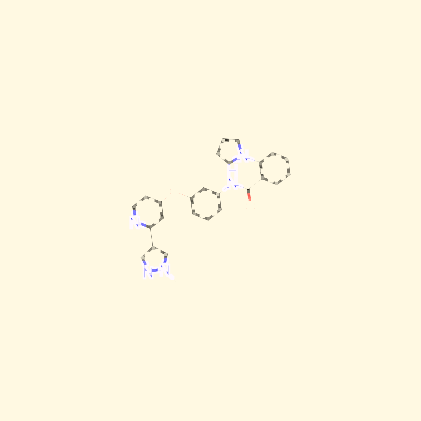 Cn1cc(-c2cc(Oc3cccc(NC(=O)c4ccccc4-n4cccc4)c3)ccn2)cn1